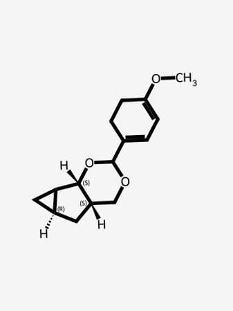 COC1=CC=C(C2OC[C@@H]3C[C@H]4CC4[C@@H]3O2)CC1